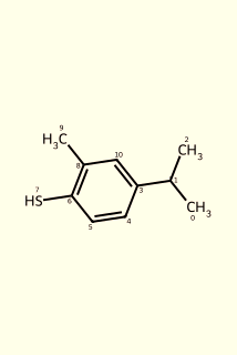 C[C](C)c1ccc(S)c(C)c1